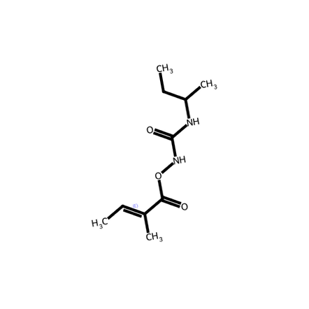 C/C=C(\C)C(=O)ONC(=O)NC(C)CC